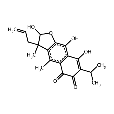 C=CCC1(C)c2c(C)c3c(c(O)c2OC1O)C(O)=C(C(C)C)C(=O)C3=O